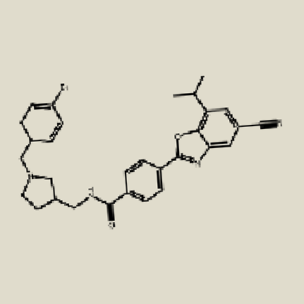 CC(C)c1cc(C#N)cc2nc(-c3ccc(C(=O)NCC4CCN(CC5C=CC(Br)=CC5)C4)cc3)oc12